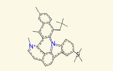 Cc1ccc2c(CC(C)(C)C)c3c(c(C)c2c1)c1c2c(ccc4c5cc([Si](C)(C)C)ccc5n3c42)cc[n+]1C